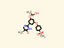 Cc1cnc(-c2cc(Oc3ccc(S(C)(=O)=O)cc3)cc(O[C@@H](C)CO)c2)[nH]c1=O